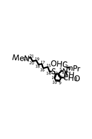 CCCC(C=O)N(C)Cc1c(C=O)cccc1SCCCCCCCCNC